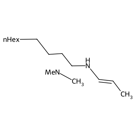 CC=CNCCCCCCCCCC.CNC